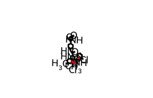 CC1(C)CCC2(CC1)N[C@@H](C(=O)NC1CCC(c3noc(=O)[nH]3)CC1)[C@H](c1cccc(Cl)c1F)[C@]21C(=O)Nc2nc(Cl)ccc21